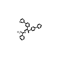 C=C(/C(=C\N=C(/N)c1ccccc1)c1cccc(-c2cccnc2)c1)c1ccc(-c2ccccc2)cc1